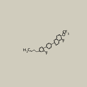 C=CCCc1ccc(-c2ccc(-c3ccc4c(F)c(OC(F)(F)F)ccc4c3)cc2)c(F)c1